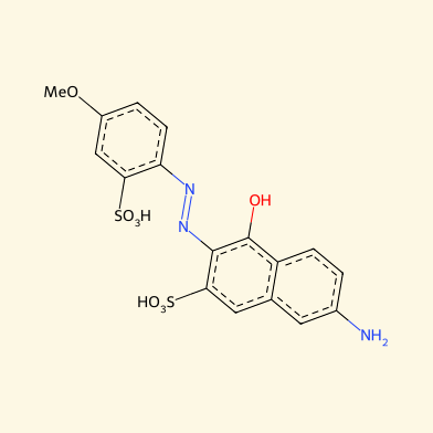 COc1ccc(N=Nc2c(S(=O)(=O)O)cc3cc(N)ccc3c2O)c(S(=O)(=O)O)c1